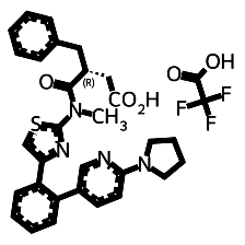 CN(C(=O)[C@@H](CC(=O)O)Cc1ccccc1)c1nc(-c2ccccc2-c2ccc(N3CCCC3)nc2)cs1.O=C(O)C(F)(F)F